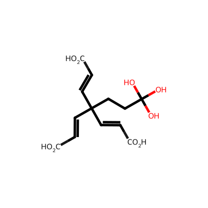 O=C(O)C=CC(C=CC(=O)O)(C=CC(=O)O)CCC(O)(O)O